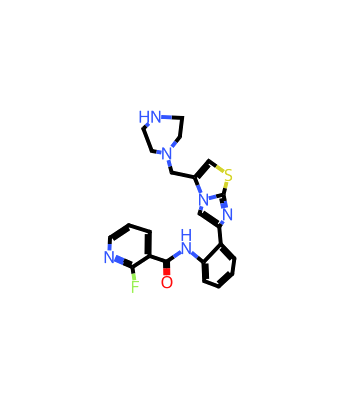 O=C(Nc1ccccc1-c1cn2c(CN3CCNCC3)csc2n1)c1cccnc1F